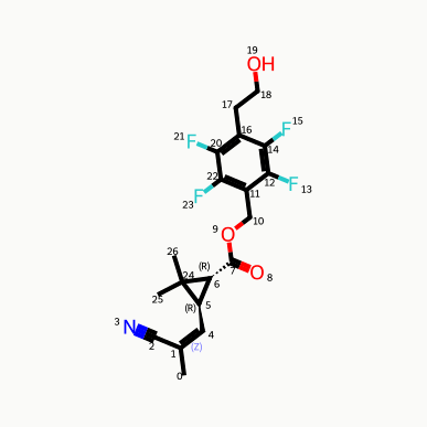 C/C(C#N)=C/[C@@H]1[C@@H](C(=O)OCc2c(F)c(F)c(CCO)c(F)c2F)C1(C)C